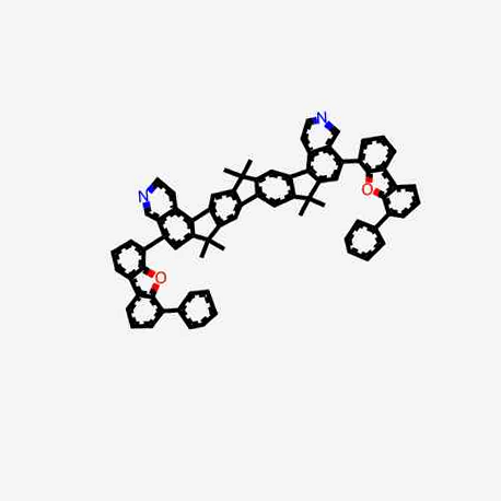 CC1(C)c2cc3c(cc2-c2cc4c(cc21)-c1c(cc(-c2cccc5c2oc2c(-c6ccccc6)cccc25)c2cnccc12)C4(C)C)C(C)(C)c1cc(-c2cccc4c2oc2c(-c5ccccc5)cccc24)c2cnccc2c1-3